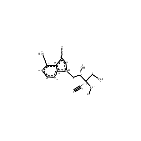 C#C[C@](CO)(OC)[C@@H](O)Cn1cc(F)c2c(N)ncnc21